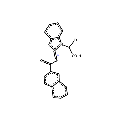 CCC(C(=O)O)n1/c(=N/C(=O)c2ccc3ccccc3c2)sc2ccccc21